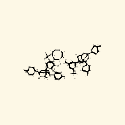 Cc1ccc(C23CC4CC(c5ccc(C)cc5)(C2)CC(c2cc(C(C)(C)C)cc(CSC5CCCCCC[C@@H]5SCc5cc(C(C)(C)C)cc(C67CC8CC(c9ccc(C)cc9)(CC(c9ccc(C)cc9)(C8)C6)C7)c5O)c2O)(C4)C3)cc1